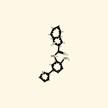 Nc1ccc(-c2cccs2)cc1NC(=O)c1cc2ccccc2o1